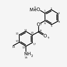 COc1ccccc1OC(=O)c1ccc(C)c(N)c1